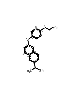 CCOc1ccc(Oc2ccc3cc(C(C)N)ccc3c2)cn1